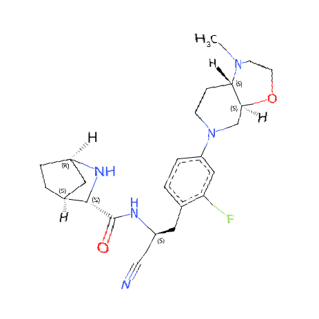 CN1CCO[C@H]2CN(c3ccc(C[C@@H](C#N)NC(=O)[C@H]4N[C@@H]5CC[C@H]4C5)c(F)c3)CC[C@@H]21